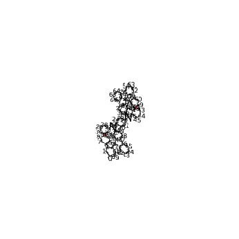 c1ccc(C2(c3ccccc3)c3ccccc3-c3cc4c5cc6c(cc5n5c7ccccc7c(c32)c45)c2cc3c(c4c5ccccc5n6c24)C(c2ccccc2)(c2ccccc2)c2ccccc2-3)cc1